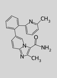 Cc1cccc(-c2ccccc2-c2ccc3nc(C)c(C(N)=O)n3c2)n1